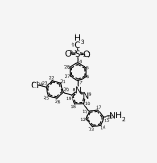 CS(=O)(=O)c1ccc(-n2nc(-c3cccc(N)c3)cc2-c2ccc(Cl)cc2)cc1